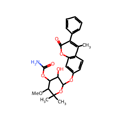 COC1C(OC(N)=O)C(O)C(Oc2ccc3c(C)c(-c4ccccc4)c(=O)oc3c2)OC1(C)C